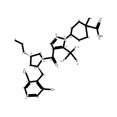 CCC[C@H]1C[C@H](Cc2c(Cl)cncc2Cl)N(C(=O)c2cnn(C3CCC(C)(C(=O)O)CC3)c2C(F)(F)F)C1